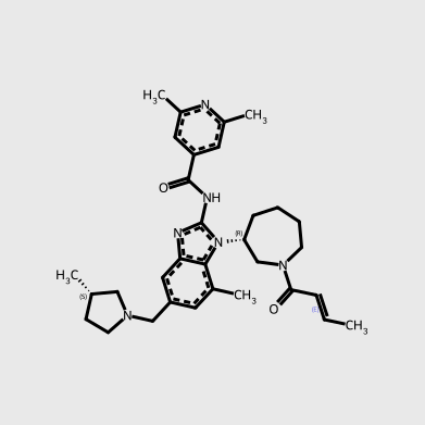 C/C=C/C(=O)N1CCCC[C@@H](n2c(NC(=O)c3cc(C)nc(C)c3)nc3cc(CN4CC[C@H](C)C4)cc(C)c32)C1